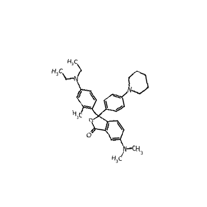 CCN(CC)c1ccc(C2(c3ccc(N4CCCCC4)cc3)OC(=O)c3cc(N(C)C)ccc32)c(C)c1